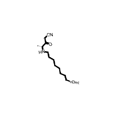 CCCCCCCCCCCCCCCCCCN[C@H](C)C(=O)[CH]C#N